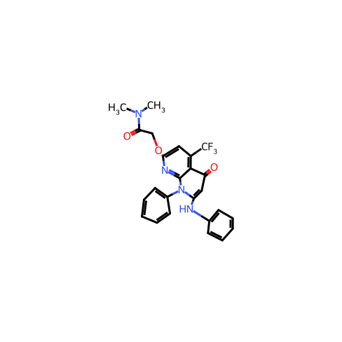 CN(C)C(=O)COc1cc(C(F)(F)F)c2c(=O)cc(Nc3ccccc3)n(-c3ccccc3)c2n1